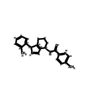 Cc1ccc(C(=O)N[C@@H]2CCCc3c2cnn3-c2ccccc2C)nc1